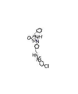 O=C1S/C(=N\c2ccc(CCNc3nc4ccc(Cl)cc4s3)cc2)N[C@H]1Cc1ccccc1